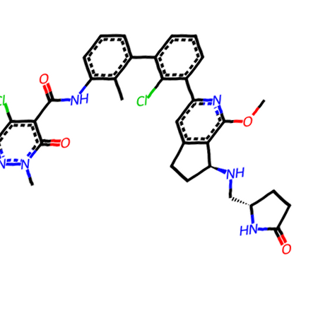 COc1nc(-c2cccc(-c3cccc(NC(=O)c4c(Cl)cnn(C)c4=O)c3C)c2Cl)cc2c1[C@@H](NC[C@@H]1CCC(=O)N1)CC2